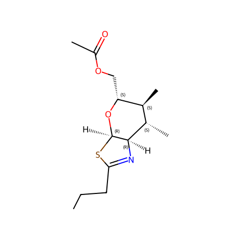 CCCC1=N[C@@H]2[C@@H](C)[C@H](C)[C@@H](COC(C)=O)O[C@@H]2S1